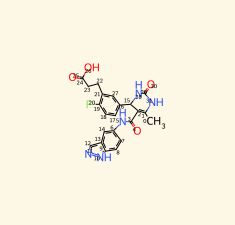 CC1=C(C(=O)Nc2ccc3[nH]ncc3c2)C(c2ccc(F)c(CCC(=O)O)c2)NC(=O)N1